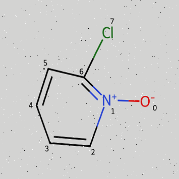 [O-][n+]1ccc[c]c1Cl